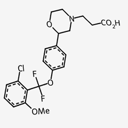 COc1cccc(Cl)c1C(F)(F)Oc1ccc(C2CN(CCC(=O)O)CCO2)cc1